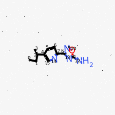 CCC(C)c1ccc(-c2noc(N)n2)nc1